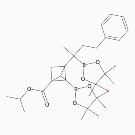 CC(C)OC(=O)C12CC(C(C)(CCc3ccccc3)B3OC(C)(C)C(C)(C)O3)(C1)C2B1OC(C)(C)C(C)(C)O1